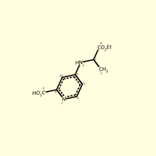 CCOC(=O)C(C)Nc1ccnc(C(=O)O)c1